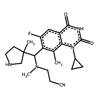 Cc1c(C(N(C)CCC#N)C2(C)CCNC2)c(F)cc2c(=O)[nH]c(=O)n(C3CC3)c12